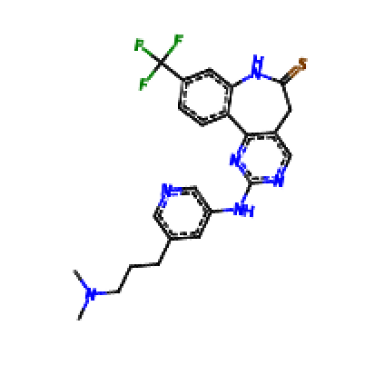 CN(C)CCCc1cncc(Nc2ncc3c(n2)-c2ccc(C(F)(F)F)cc2NC(=S)C3)c1